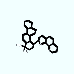 CC1(C)CCC(c2ccc3ccc4cccnc4c3n2)=c2c1ccc1c3c(ccc21)C=CCC=3